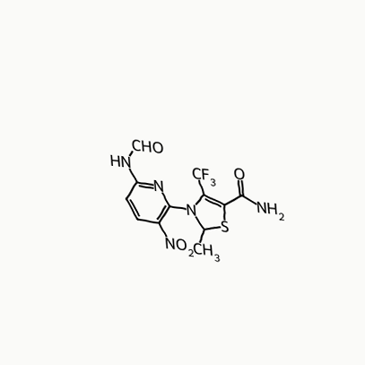 CC1SC(C(N)=O)=C(C(F)(F)F)N1c1nc(NC=O)ccc1[N+](=O)[O-]